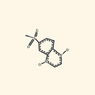 CS(=O)(=O)c1ccc2c(c1)[n+]([O-])cc[n+]2[O-]